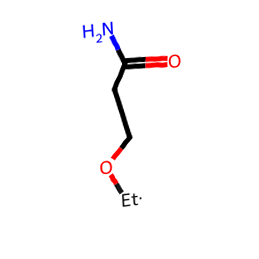 C[CH]OCCC(N)=O